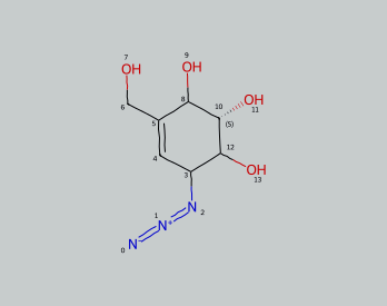 [N-]=[N+]=NC1C=C(CO)C(O)[C@H](O)C1O